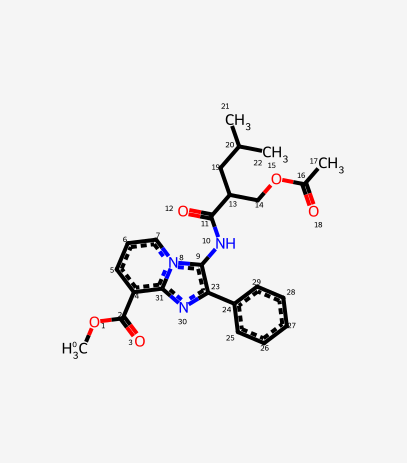 COC(=O)c1cccn2c(NC(=O)C(COC(C)=O)CC(C)C)c(-c3ccccc3)nc12